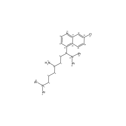 CC(C)N(CCCC(N)CCC(c1ccnc2cc(Cl)ccc12)N(C(C)C)C(C)C)C(C)C